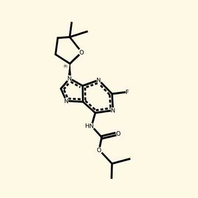 CC(C)OC(=O)Nc1nc(F)nc2c1ncn2[C@H]1CCC(C)(C)O1